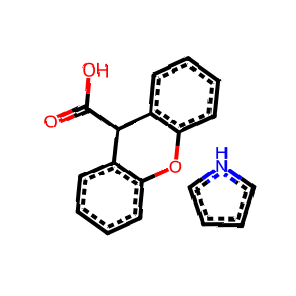 O=C(O)C1c2ccccc2Oc2ccccc21.c1cc[nH]c1